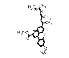 C=N/C(C)=N\C=C(/C)CC(C)c1ccc2c(-c3ccc(OC)cc3F)cc(C(=O)OC)nc2c1